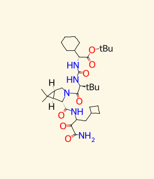 CC(C)(C)OC(=O)[C@H](NC(=O)N[C@H](C(=O)N1C[C@H]2[C@@H]([C@H]1C(=O)NC(CC1CCC1)C(=O)C(N)=O)C2(C)C)C(C)(C)C)C1CCCCC1